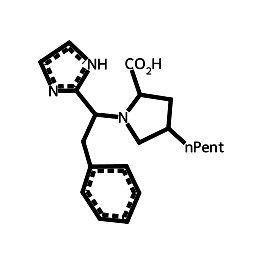 CCCCCC1CC(C(=O)O)N(C(Cc2ccccc2)c2ncc[nH]2)C1